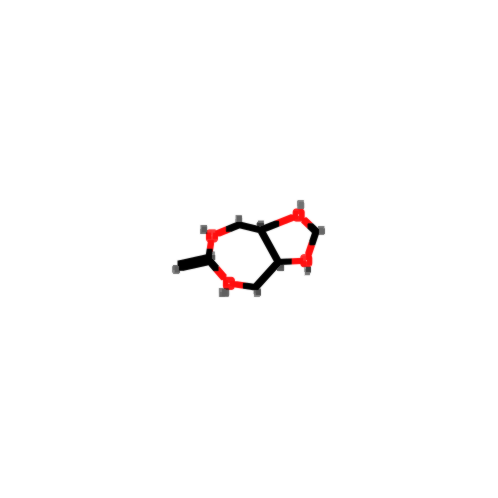 C=C1OCC2OCOC2CO1